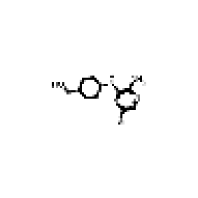 Nc1ncc(Br)nc1N[C@H]1CC[C@H](CO)CC1